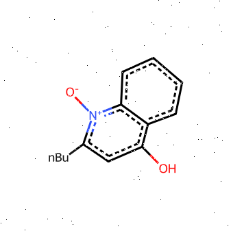 CCCCc1cc(O)c2ccccc2[n+]1[O-]